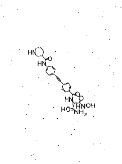 N[C@@H](O)[C@H](NC(=O)c1ccc(C#Cc2ccc(NC(=O)C3CCCNC3)cc2)cc1)C(=O)NO